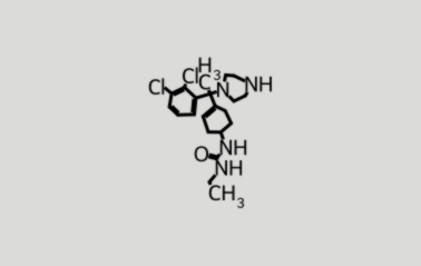 CCNC(=O)NC1CC=C(C(C)(c2cccc(Cl)c2Cl)N2CCNCC2)CC1